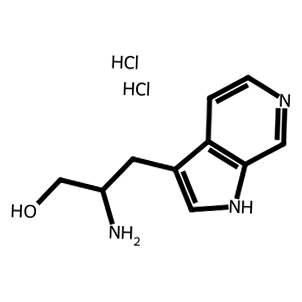 Cl.Cl.NC(CO)Cc1c[nH]c2cnccc12